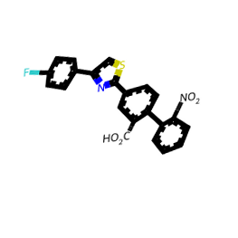 O=C(O)c1cc(-c2nc(-c3ccc(F)cc3)cs2)ccc1-c1ccccc1[N+](=O)[O-]